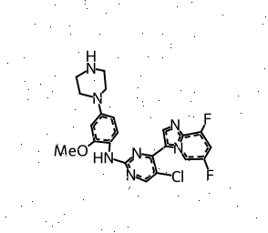 COc1cc(N2CCNCC2)ccc1Nc1ncc(Cl)c(-c2cnc3c(F)cc(F)cn23)n1